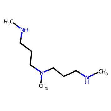 CNCCCN(C)CCCNC